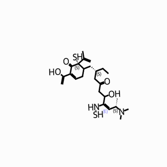 C=C(O)C1=CCC(C[C@H](CC)CC(=O)CC(O)/C(=C\[C@H](C)N(C)C)NS)[C@](S)(C(=C)C)C1=O